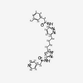 Cc1cccc(CC(=O)Nc2ccc(CCCCc3nnc(NC(=O)Cc4ccncc4)s3)nn2)c1